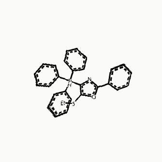 CCSc1oc(-c2ccccc2)nc1[PH](c1ccccc1)(c1ccccc1)c1ccccc1